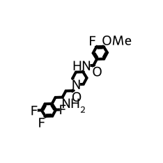 COc1ccc(C(=O)NC2CCN(C(=O)C[C@H](N)Cc3cc(F)c(F)cc3F)CC2)cc1F